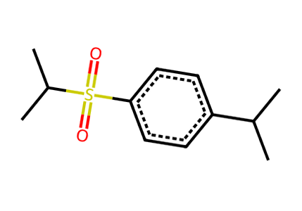 CC(C)c1ccc(S(=O)(=O)C(C)C)cc1